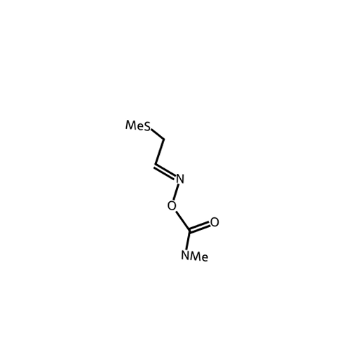 CNC(=O)ON=CCSC